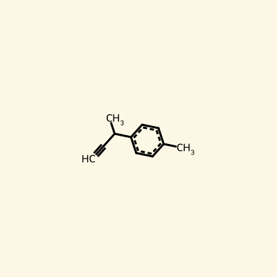 C#CC(C)c1ccc(C)cc1